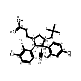 CC(C)(C)C[C@@H]1CN(CCC(=O)O)[C@H](c2cccc(Cl)c2F)[C@@]1(C#N)c1ccc(Cl)cc1F